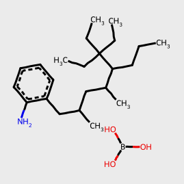 CCCC(C(C)CC(C)Cc1ccccc1N)C(CC)(CC)CC.OB(O)O